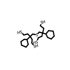 SCCC(CCS)(CSCC(CCS)(CCS)C1CCCCC1)C1CCCCC1